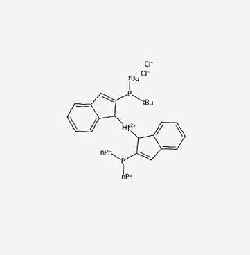 CCCP(CCC)C1=Cc2ccccc2[CH]1[Hf+2][CH]1C(P(C(C)(C)C)C(C)(C)C)=Cc2ccccc21.[Cl-].[Cl-]